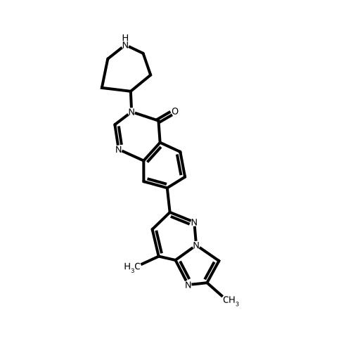 Cc1cn2nc(-c3ccc4c(=O)n(C5CCNCC5)cnc4c3)cc(C)c2n1